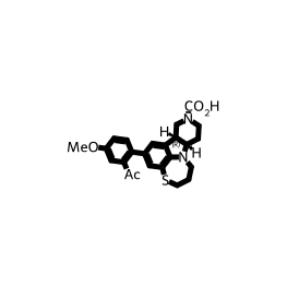 COc1ccc(-c2cc3c4c(c2)[C@@H]2CN(C(=O)O)CC[C@@H]2N4CCCS3)c(C(C)=O)c1